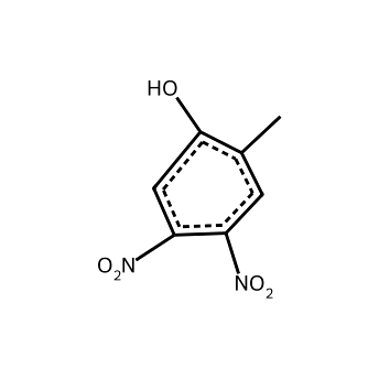 Cc1cc([N+](=O)[O-])c([N+](=O)[O-])cc1O